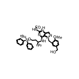 CCCC(CCO[Si](c1ccccc1)(c1ccccc1)C(C)(C)C)Nc1nc(NC(=O)O)nc2cnn(Cc3cc(CO)ccc3OC)c12